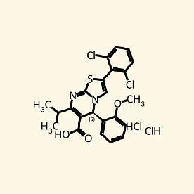 COc1ccccc1[C@H]1C(C(=O)O)=C(C(C)C)N=C2SC(c3c(Cl)cccc3Cl)=CN21.Cl.Cl